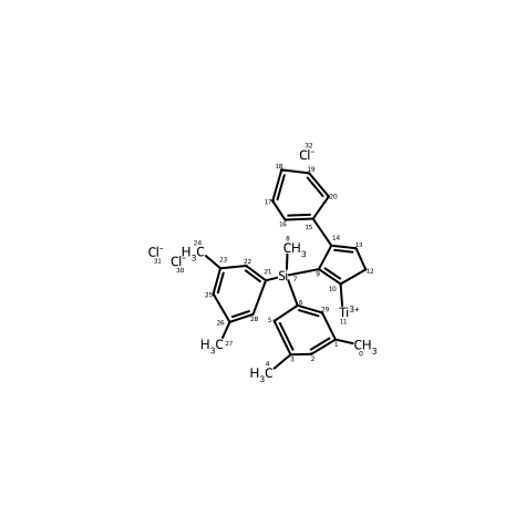 Cc1cc(C)cc([Si](C)(C2=[C]([Ti+3])CC=C2c2ccccc2)c2cc(C)cc(C)c2)c1.[Cl-].[Cl-].[Cl-]